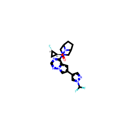 O=C([C@H]1C[C@@H]1F)N1C2CCC1CN(c1ncnn3cc(-c4cnn(C(F)F)c4)cc13)C2